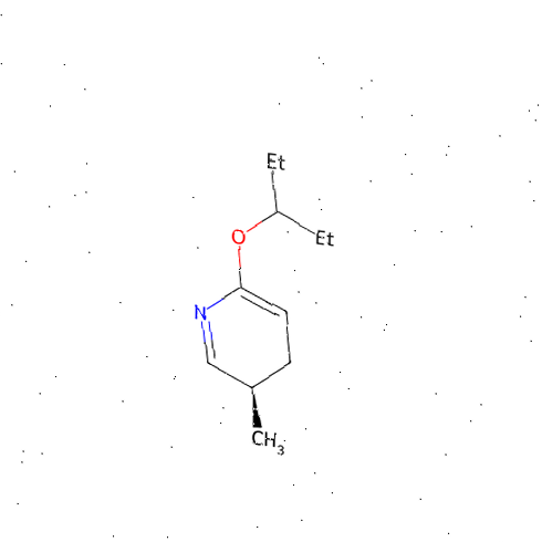 CCC(CC)OC1=CC[C@@H](C)C=N1